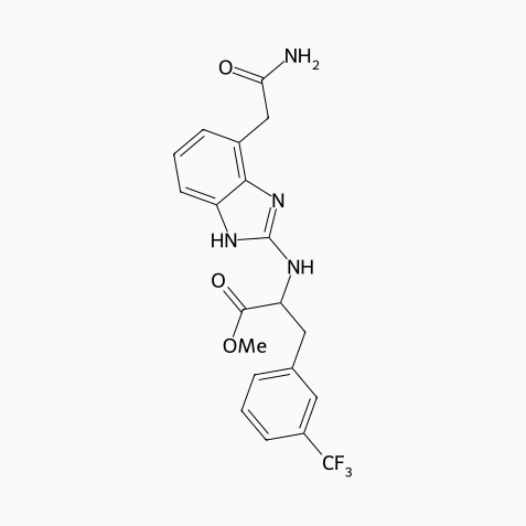 COC(=O)C(Cc1cccc(C(F)(F)F)c1)Nc1nc2c(CC(N)=O)cccc2[nH]1